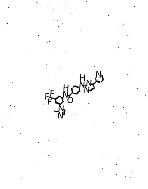 Cc1nccn1-c1cc(NC(=O)c2ccc(Nc3nccc(-c4cccnc4)n3)cc2)cc(C(F)(F)F)c1